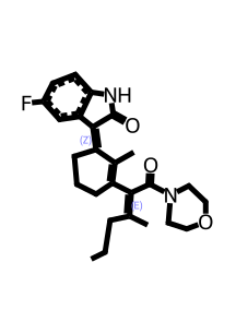 CCC/C(C)=C(/C(=O)N1CCOCC1)C1=C(C)/C(=C2\C(=O)Nc3ccc(F)cc32)CCC1